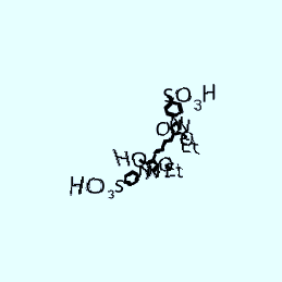 CCOC1=NN(c2ccc(S(=O)(=O)O)cc2)C(=O)C1C=CC=Cc1c(OCC)nn(-c2ccc(S(=O)(=O)O)cc2)c1O